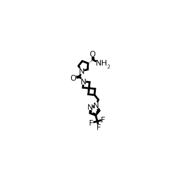 NC(=O)[C@H]1CCN(C(=O)N2CC3(CC(Cn4cc(C(F)(F)F)cn4)C3)C2)C1